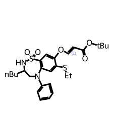 CCCCC1CN(c2ccccc2)c2cc(SCC)c(O/C=C/C(=O)OC(C)(C)C)cc2S(=O)(=O)N1